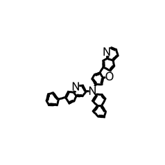 c1ccc(-c2ccc3cc(N(c4ccc5ccccc5c4)c4ccc5c(c4)oc4cc6cccnc6cc45)cnc3c2)cc1